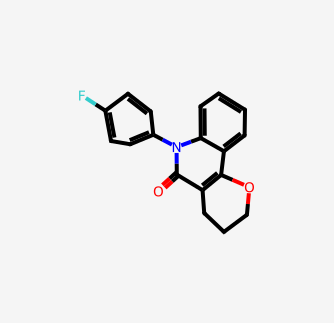 O=c1c2c(c3ccccc3n1-c1ccc(F)cc1)OCCC2